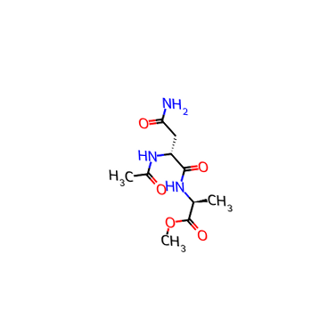 COC(=O)[C@H](C)NC(=O)[C@@H](CC(N)=O)NC(C)=O